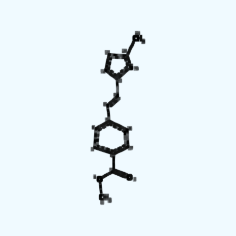 COC(=O)c1ccc(C=Cc2ccc(C)s2)cc1